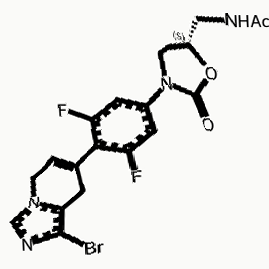 CC(=O)NC[C@H]1CN(c2cc(F)c(C3=CCn4cnc(Br)c4C3)c(F)c2)C(=O)O1